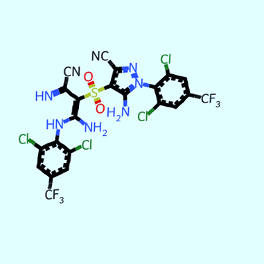 N#CC(=N)/C(=C(/N)Nc1c(Cl)cc(C(F)(F)F)cc1Cl)S(=O)(=O)c1c(C#N)nn(-c2c(Cl)cc(C(F)(F)F)cc2Cl)c1N